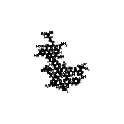 CC[C@H](C)[C@H](NC(=O)[C@@H]1C[C@@H](O)CN1C(=O)[C@@H](N)C(C)C)C(=O)N[C@H](C(=O)N[C@@H](Cc1ccc(O)cc1)C(=O)N[C@H](C(=O)N[C@@H](CC(N)=O)C(=O)N[C@@H](CCCNC(=N)N)C(=O)N[C@@H](CCN)C(=O)N[C@H](C(=O)N[C@H](CCN)C(=O)N[C@@H](Cc1ccc(O)cc1)C(=O)N[C@@H](CS)C(=O)N[C@@H](CCN)C(=O)N[C@@H](CCCNC(=N)N)C(=O)N[C@@H](Cc1ccc(O)cc1)C(=O)O)[C@@H](C)O)C(C)(C)S)[C@@H](C)O